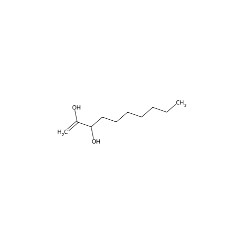 C=C(O)C(O)CCCCCCC